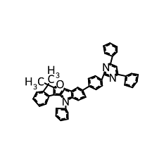 CC1(C)c2ccccc2-c2c1oc1c3cc(-c4ccc(-c5nc(-c6ccccc6)cc(-c6ccccc6)n5)cc4)ccc3n(-c3ccccc3)c21